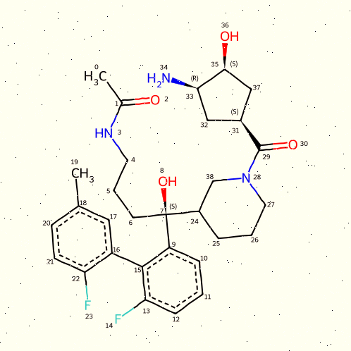 CC(=O)NCCC[C@@](O)(c1cccc(F)c1-c1cc(C)ccc1F)C1CCCN(C(=O)[C@H]2C[C@@H](N)[C@@H](O)C2)C1